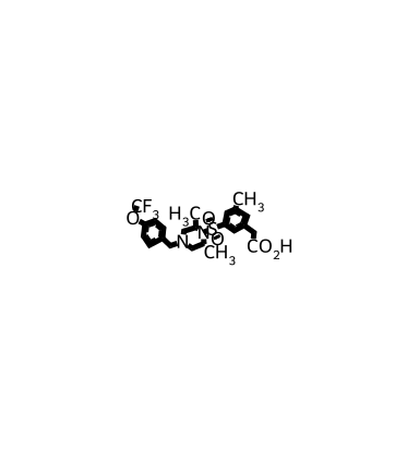 Cc1cc(CC(=O)O)cc(S(=O)(=O)N2C(C)CN(Cc3ccc(OC(F)(F)F)cc3)CC2C)c1